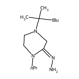 CCCN1CCN(C(C)(C)C(C)(C)C)C/C1=N/N